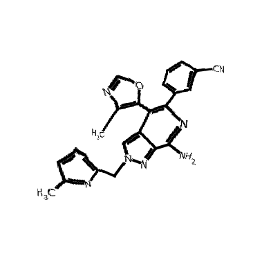 Cc1cccc(Cn2cc3c(-c4ocnc4C)c(-c4cccc(C#N)c4)nc(N)c3n2)n1